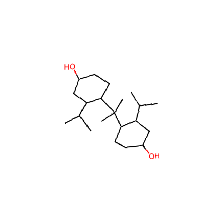 CC(C)C1CC(O)CCC1C(C)(C)C1CCC(O)CC1C(C)C